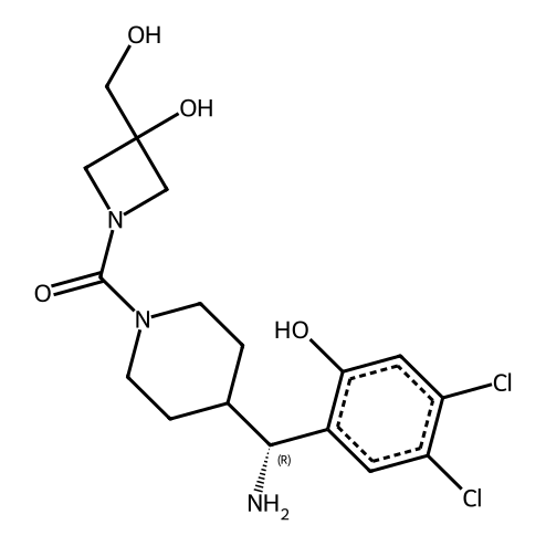 N[C@@H](c1cc(Cl)c(Cl)cc1O)C1CCN(C(=O)N2CC(O)(CO)C2)CC1